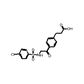 O=C(O)CCc1ccc(C(=O)CNS(=O)(=O)c2ccc(Cl)cc2)cc1